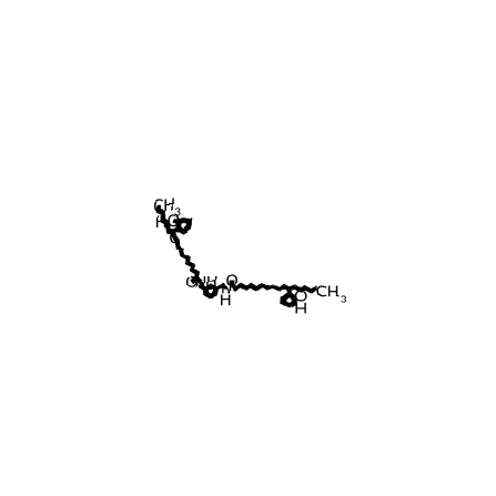 CCCCCCC(CCCCCCCCCCC(=O)NCc1cccc(CNC(=O)CCCCCCCCCCC(CCCCCC)c2ccccc2O)c1)c1ccccc1O